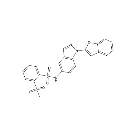 CS(=O)(=O)c1ccccc1S(=O)(=O)Nc1ccc2c(cnn2-c2cc3ccccc3o2)c1